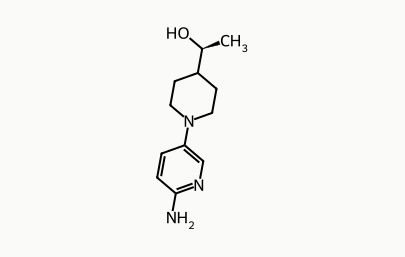 C[C@H](O)C1CCN(c2ccc(N)nc2)CC1